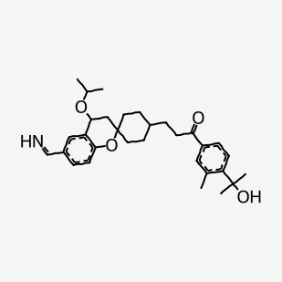 Cc1cc(C(=O)CCC2CCC3(CC2)CC(OC(C)C)c2cc(C=N)ccc2O3)ccc1C(C)(C)O